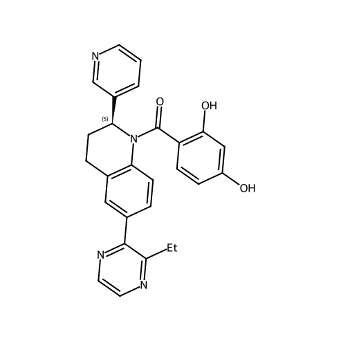 CCc1nccnc1-c1ccc2c(c1)CC[C@@H](c1cccnc1)N2C(=O)c1ccc(O)cc1O